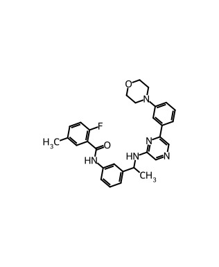 Cc1ccc(F)c(C(=O)Nc2cccc(C(C)Nc3cncc(-c4cccc(N5CCOCC5)c4)n3)c2)c1